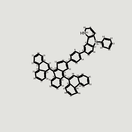 C1=Cc2c(c3cc(-c4ccc(-c5ccc6c(-c7cc8ccccc8c8ccccc78)c7ccccc7c(-c7cc8ccccc8c8ccccc78)c6c5)cc4)ccc3n2-c2ccccc2)NC1